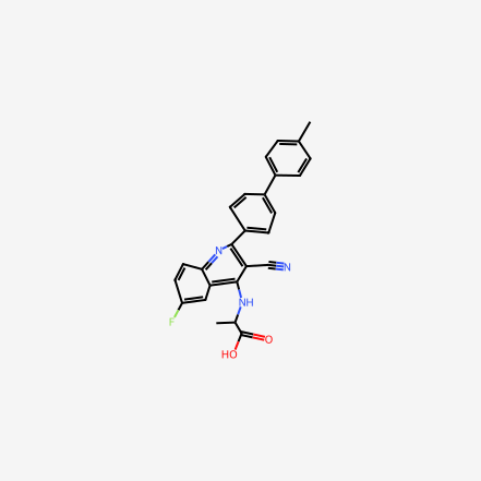 Cc1ccc(-c2ccc(-c3nc4ccc(F)cc4c(NC(C)C(=O)O)c3C#N)cc2)cc1